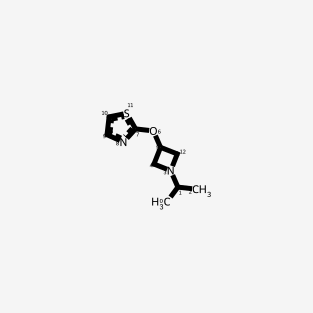 CC(C)N1CC(Oc2nccs2)C1